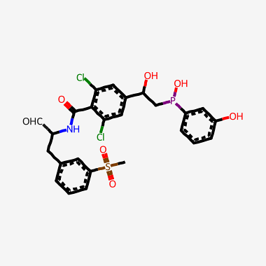 CS(=O)(=O)c1cccc(CC(C=O)NC(=O)c2c(Cl)cc(C(O)CP(O)c3cccc(O)c3)cc2Cl)c1